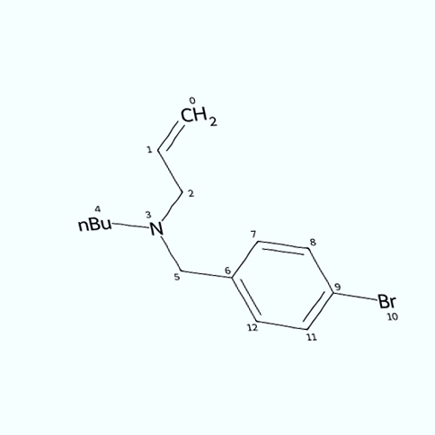 C=CCN(CCCC)Cc1ccc(Br)cc1